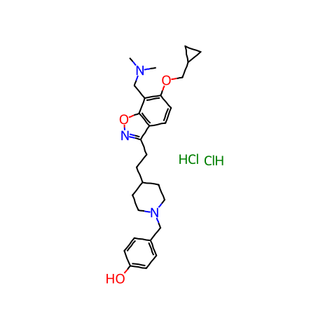 CN(C)Cc1c(OCC2CC2)ccc2c(CCC3CCN(Cc4ccc(O)cc4)CC3)noc12.Cl.Cl